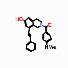 CNc1ccc(C(=O)N2CCc3cc(O)cc(C#Cc4ccccc4)c3C2)cc1